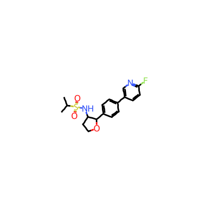 CC(C)S(=O)(=O)NC1CCOC1c1ccc(-c2ccc(F)nc2)cc1